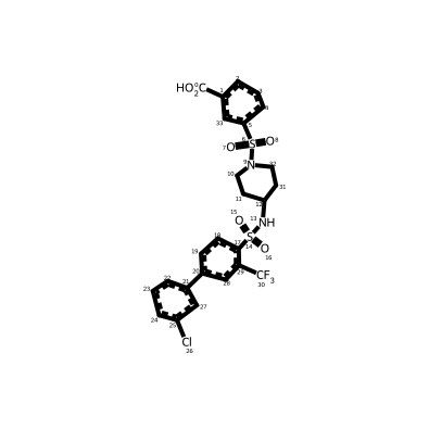 O=C(O)c1cccc(S(=O)(=O)N2CCC(NS(=O)(=O)c3ccc(-c4cccc(Cl)c4)cc3C(F)(F)F)CC2)c1